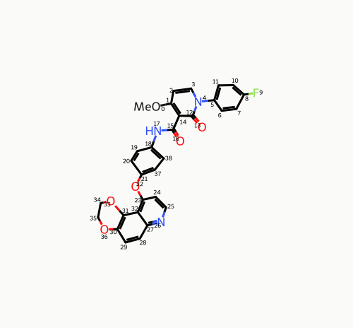 COc1ccn(-c2ccc(F)cc2)c(=O)c1C(=O)Nc1ccc(Oc2ccnc3ccc4c(c23)OCCO4)cc1